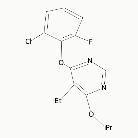 CCc1c(Oc2c(F)cccc2Cl)ncnc1OC(C)C